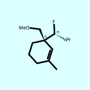 CCC[C@@H](F)[C@]1(COC)C=C(C)CCC1